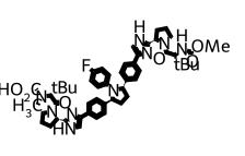 COC(=O)N[C@H](C(=O)N1CCC[C@H]1c1nc(-c2ccc([C@@H]3CC[C@@H](c4ccc(-c5c[nH]c([C@@H]6CCCN6C(=O)[C@@H](N(C)C(=O)O)C(C)(C)C)n5)cc4)N3c3ccc(F)cc3)cc2)c[nH]1)C(C)(C)C